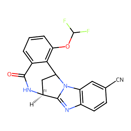 N#Cc1ccc2nc3n(c2c1)C1C[C@@H]3NC(=O)c2cccc(OC(F)F)c21